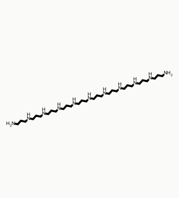 NCCCNCCCNCCCNCCCNCCCNCCCNCCCNCCCNCCCNCCCN